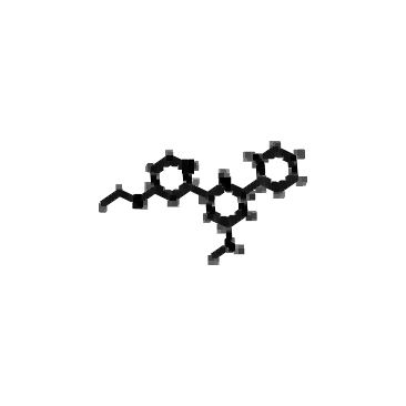 CCSc1ccnc(-c2cc(SC)cc(-c3ccccn3)n2)c1